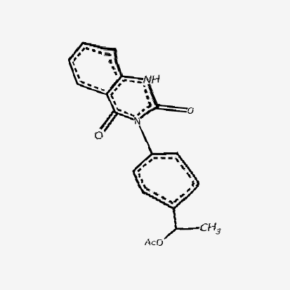 CC(=O)OC(C)c1ccc(-n2c(=O)[nH]c3ccccc3c2=O)cc1